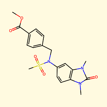 COC(=O)c1ccc(CN(c2ccc3c(c2)n(C)c(=O)n3C)S(C)(=O)=O)cc1